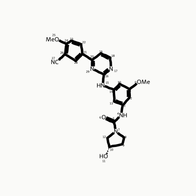 COc1cc(NC(=O)N2CC[C@H](O)C2)cc(Nc2nccc(-c3ccc(OC)c(C#N)c3)n2)c1